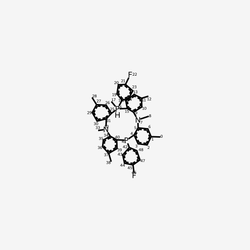 Cc1ccc2c(c1)N(C)c1cc(C)ccc1[PH](C)(c1ccc(F)cc1)c1cc(C)ccc1N(C)c1ccc(C)cc1P2c1ccc(F)cc1